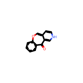 O=C1C2=CNC=CC2=COc2ccccc21